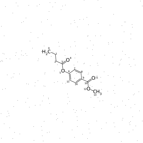 [CH2]CCC(=O)Oc1ccc(C(=O)OC)cc1